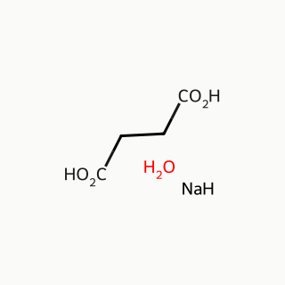 O.O=C(O)CCC(=O)O.[NaH]